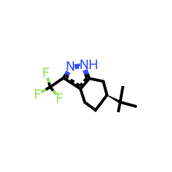 CC(C)(C)[C@H]1CCc2c(C(F)(F)F)n[nH]c2C1